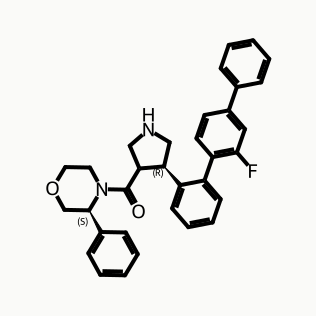 O=C(C1CNC[C@H]1c1ccccc1-c1ccc(-c2ccccc2)cc1F)N1CCOC[C@@H]1c1ccccc1